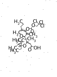 C=CC[C@H](C)[C@H](OC(=O)OCC(Cl)(Cl)Cl)[C@@H](C)C(=O)C(C)(C)[C@@H](CC(=O)O)O[Si](CC)(CC)CC